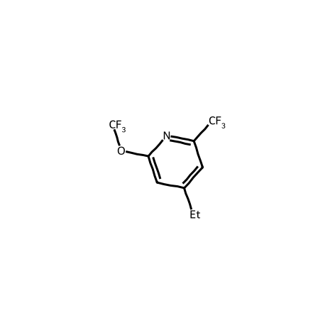 CCc1cc(OC(F)(F)F)nc(C(F)(F)F)c1